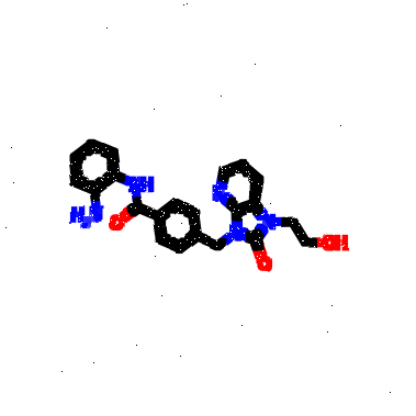 Nc1ccccc1NC(=O)c1ccc(Cn2c(=O)n(CCO)c3cccnc32)cc1